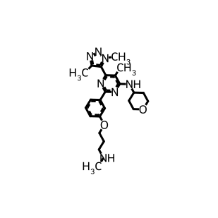 CNCCCOc1cccc(-c2nc(NC3CCOCC3)c(C)c(-c3c(C)nnn3C)n2)c1